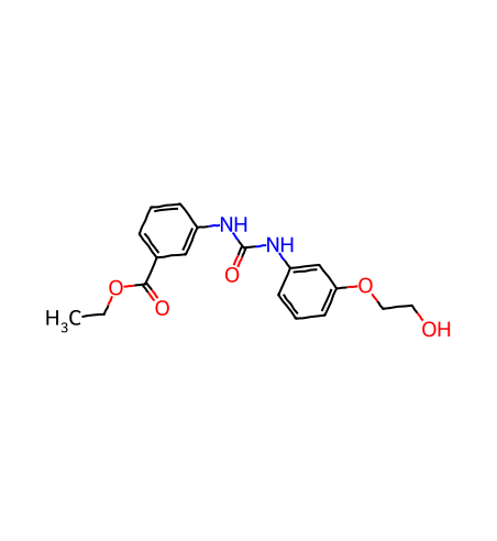 CCOC(=O)c1cccc(NC(=O)Nc2cccc(OCCO)c2)c1